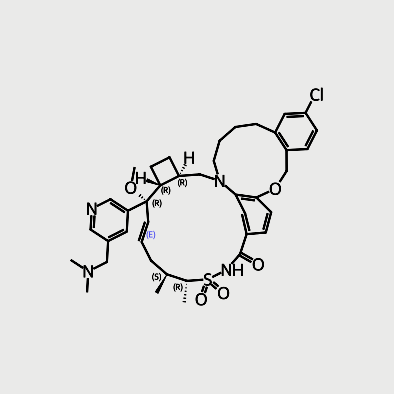 CO[C@@]1(c2cncc(CN(C)C)c2)/C=C/C[C@H](C)[C@@H](C)S(=O)(=O)NC(=O)c2ccc3c(c2)N(CCCCc2cc(Cl)ccc2CO3)C[C@@H]2CC[C@H]21